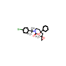 CC1(CC2(c3ccccc3)CCN(C(C)(C)c3ccc(Br)cc3)C(=O)O2)CO1